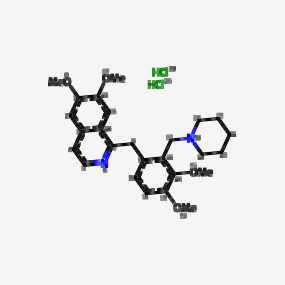 COc1cc2ccnc(Cc3ccc(OC)c(OC)c3CN3CCCCC3)c2cc1OC.Cl.Cl